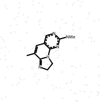 CNc1ncc2c(n1)N1CCN=C1C(C)=C2